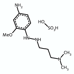 COc1cc(N)ccc1NNCCCN(C)C.O=S(=O)(O)O